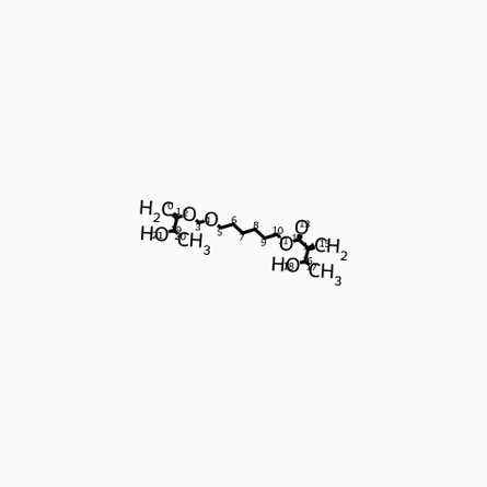 C=C(OCOCCCCCCOC(=O)C(=C)C(C)O)C(C)O